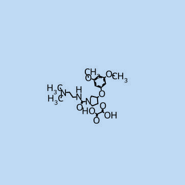 COc1cc(OC)cc(OC2CCN(C(=O)NCCN(C)C)C2)c1.O=C(O)C(=O)O